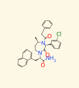 C[C@@H]1CCN([C@H](Cc2cccc3ccccc23)C(N)=O)C(=O)[C@H](c2cccc(Cl)c2)N1C(=O)Cc1ccccc1